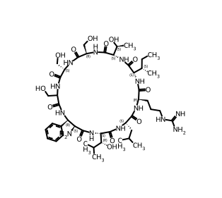 CC[C@H](C)[C@@H]1NC(=O)[C@@H](CCCNC(=N)N)NC(=O)[C@H](CC(C)C)NC(=O)[C@H]([C@H](O)C(C)C)NC(=O)[C@@H](N)[C@@H](c2ccccc2)NC(=O)C(CO)NC(=O)[C@H](CO)NC(=O)[C@@H](CO)NC(=O)[C@H]([C@H](C)O)NC1=O